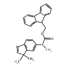 CN(C(=O)OCC1c2ccccc2-c2ccccc21)c1ccc2c(c1)C(C)(C)C=N2